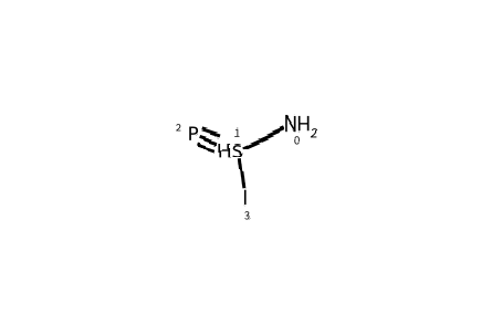 N[SH](#P)I